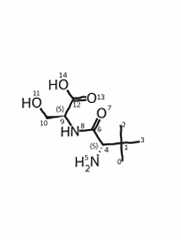 CC(C)(C)[C@H](N)C(=O)N[C@@H](CO)C(=O)O